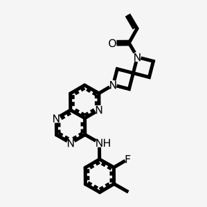 C=CC(=O)N1CCC12CN(c1ccc3ncnc(Nc4cccc(C)c4F)c3n1)C2